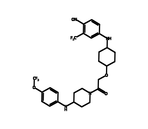 O=Nc1ccc(NC2CCC(OCC(=O)N3CCC(Nc4ccc(OC(F)(F)F)cc4)CC3)CC2)cc1C(F)(F)F